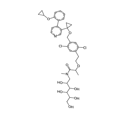 CC(OCCc1cc(Cl)c(COC2(c3cnccc3-c3ccccc3OC3CC3)CC2)cc1Cl)C(=O)N(C)CC(O)C(O)C(O)C(O)CO